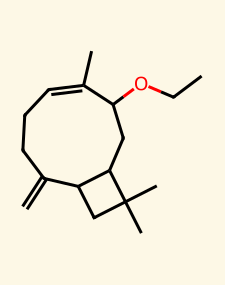 C=C1CCC=C(C)C(OCC)CC2C1CC2(C)C